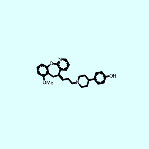 COc1cccc2c1C/C(=C/CCN1CCC(c3ccc(O)cc3)CC1)c1cccnc1O2